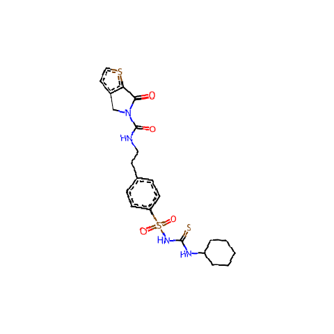 O=C(NCCc1ccc(S(=O)(=O)NC(=S)NC2CCCCC2)cc1)N1Cc2ccsc2C1=O